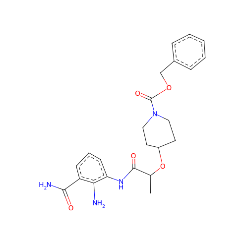 CC(OC1CCN(C(=O)OCc2ccccc2)CC1)C(=O)Nc1cccc(C(N)=O)c1N